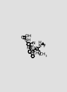 COCc1cc(C(=O)NC2(c3nc4cc(CN[C@@H]5COC[C@@H]5O)cc(C#N)c4o3)C=CC=C(c3ccccc3C)C2Cl)ncc1CN[C@@H]1C[C@@H]1F